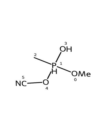 CO[PH](C)(O)OC#N